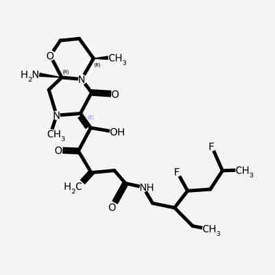 C=C(CC(=O)NCC(CC)C(F)CC(C)F)C(=O)/C(O)=C1/C(=O)N2[C@H](C)CCO[C@@]2(N)CN1C